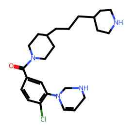 O=C(c1ccc(Cl)c(N2C=CCNC2)c1)N1CCC(CCCC2CCNCC2)CC1